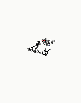 C=C1[C@H](C)CC2CC[C@@H]3OC(CCC/C=C/C(O[Si](C)(C)C(C)(C)C)[C@@H]4O[C@H]5CCC(CC(=O)C[C@H]6[C@H](C[C@H]1OC(C)=O)OC(CC(CO[Si](C)(C)C(C)(C)C)O[Si](C)(C)C(C)(C)C)[C@@H]6OC)OC5[C@H](O)C4O[Si](C)(C)C(C)(C)C)C[C@]3(CI)O2